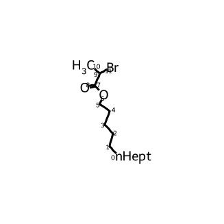 CCCCCCCCCCCCOC(=O)C(C)Br